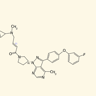 Cc1ncnc2c1c(-c1ccc(Oc3cccc(F)c3)cc1)nn2[C@@H]1CCN(C(=O)/C=C/CN(C)C2CC2)C1